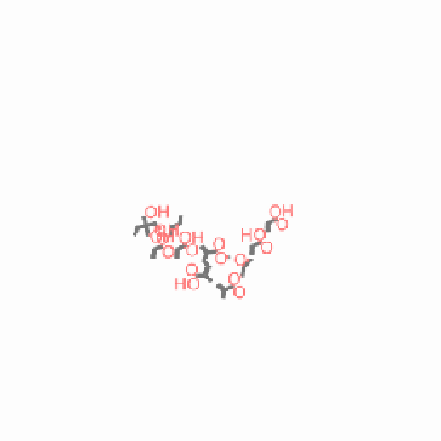 C=C(C)C(=O)OCC1CO1.C=C(CC=C(C)C(=O)O)C(=O)OC.C=CC(=O)O.C=CC(=O)O.C=CC(=O)O.C=CC(=O)OCCCC.CCC(CO)(CO)CO